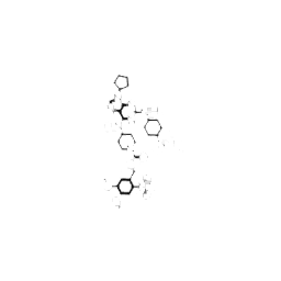 COc1cc(COC(=O)N2CCC(Nc3nc(NC4CCC(N)CC4)nc4c3ncn4C3CCCC3)CC2)c([N+](=O)[O-])cc1OC